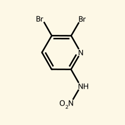 O=[N+]([O-])Nc1ccc(Br)c(Br)n1